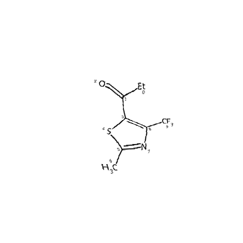 CCC(=O)c1sc(C)nc1C(F)(F)F